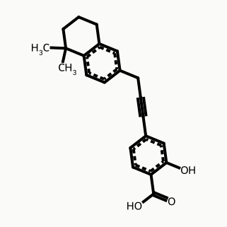 CC1(C)CCCc2cc(CC#Cc3ccc(C(=O)O)c(O)c3)ccc21